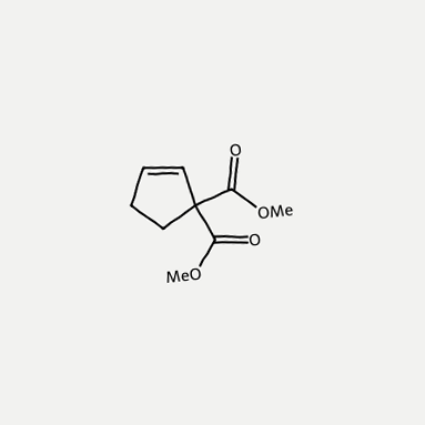 COC(=O)C1(C(=O)OC)C=CCC1